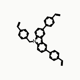 C=Cc1ccc(Cn2c3ccc(-c4ccc(C=C)cc4)cc3c3cc(-c4ccc(C=C)cc4)ccc32)cc1